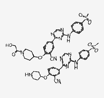 CS(=O)(=O)c1ccc(Nc2ncnc(-c3ccc(OC4CCN(C(=O)CO)CC4)c(C#N)c3)n2)cc1.CS(=O)(=O)c1ccc(Nc2ncnc(-c3ccc(OC4CCNCC4)c(C#N)c3)n2)cc1